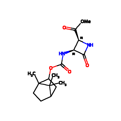 COC(=O)[C@H]1NC(=O)[C@H]1NC(=O)OC1CC2CCC1(C)C2(C)C